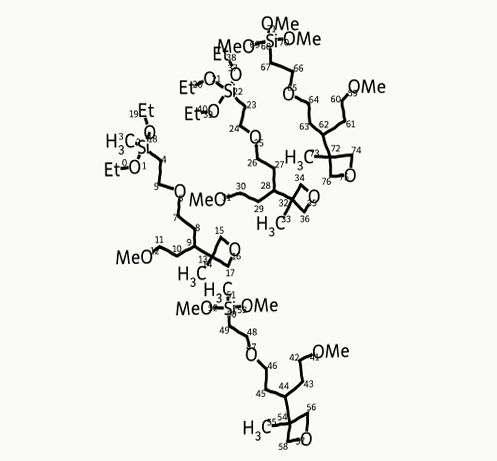 CCO[Si](C)(CCOCCC(CCOC)C1(C)COC1)OCC.CCO[Si](CCOCCC(CCOC)C1(C)COC1)(OCC)OCC.COCCC(CCOCC[Si](C)(OC)OC)C1(C)COC1.COCCC(CCOCC[Si](OC)(OC)OC)C1(C)COC1